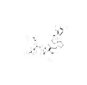 CC(C)(O/N=C(\C(=O)N[C@@H]1C(=O)N2C(C(=O)O)=C(C[N+]3(CCNC(=O)c4ccc(O)c(O)c4Cl)CCCC3)CS[C@H]12)c1nsc(N)n1)C(=O)O